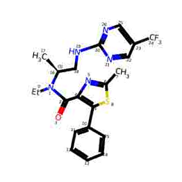 CCN(C(=O)c1nc(C)sc1-c1ccccc1)[C@@H](C)CNc1ncc(C(F)(F)F)cn1